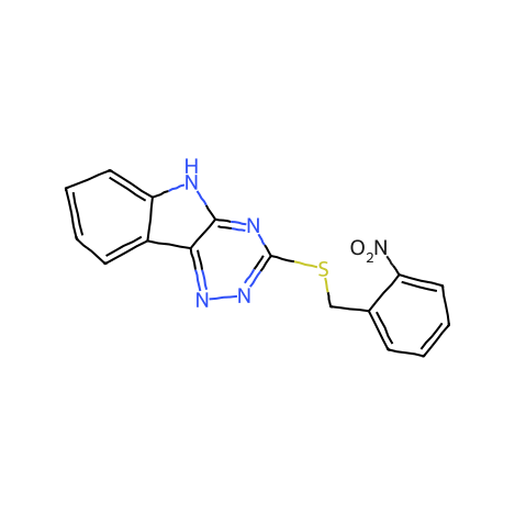 O=[N+]([O-])c1ccccc1CSc1nnc2c(n1)[nH]c1ccccc12